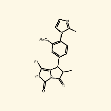 CCc1[nH]c(=O)n2c1C(c1ccc(-n3ccnc3C)c(OC)c1)C(C)C2=O